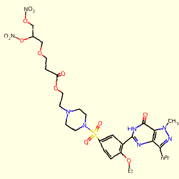 CCCc1nn(C)c2c(=O)[nH]c(-c3cc(S(=O)(=O)N4CCN(CCOC(=O)CCOCC(CO[N+](=O)[O-])O[N+](=O)[O-])CC4)ccc3OCC)nc12